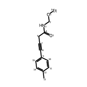 CCOCNC(=O)CC#Cc1ccc(C)cc1